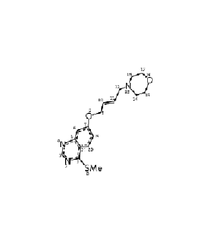 CSc1ncnc2cc(OCC=CCN3CCOCC3)ccc12